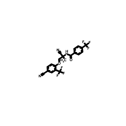 CC(C#N)(COc1ccc(C#N)cc1C(F)(F)F)NC(=O)c1ccc(C(F)(F)F)cc1